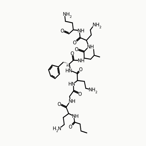 CCCC(=O)NC(CCN)C(=O)NCC(=O)NC(CCN)C(=O)N[C@H](Cc1ccccc1)C(=O)NC(CC(C)C)C(=O)NC(CCN)C(=O)NC(C=O)CCN